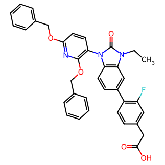 CCn1c(=O)n(-c2ccc(OCc3ccccc3)nc2OCc2ccccc2)c2ccc(-c3ccc(CC(=O)O)cc3F)cc21